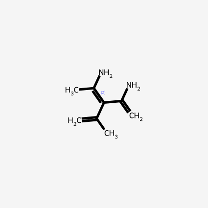 C=C(C)/C(C(=C)N)=C(\C)N